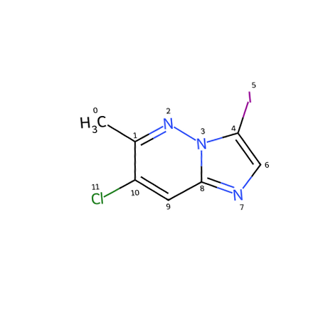 Cc1nn2c(I)cnc2cc1Cl